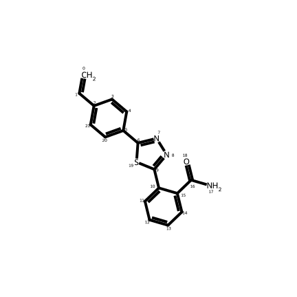 C=Cc1ccc(-c2nnc(-c3ccccc3C(N)=O)s2)cc1